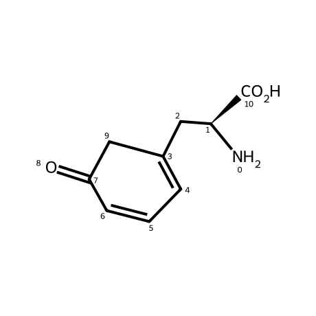 N[C@@H](CC1=CC=CC(=O)C1)C(=O)O